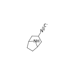 [C-]#[N+]C1CC2CCC(C1)N2